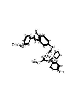 CC(C)(C)OC(=O)N[C@](C=O)(c1ccc(F)cc1)N1CCC[C@H]1C(=O)Nc1ccc2[nH]c(-c3cccc(NC=O)c3)cc2c1